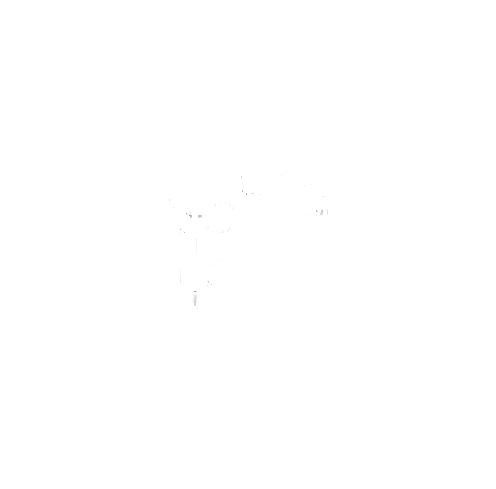 Cn1nc(C2CCC(=O)NC2=O)c2ccc(N3CCC(CC4CCNCC4)C3)cc21